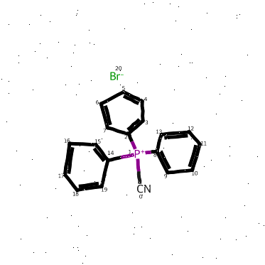 N#C[P+](c1ccccc1)(c1ccccc1)c1ccccc1.[Br-]